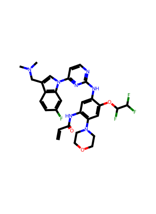 C=CC(=O)Nc1cc(Nc2nccc(-n3cc(CN(C)C)c4ccc(F)cc43)n2)c(OC(F)C(F)F)cc1N1CCOCC1